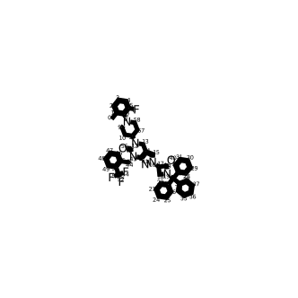 Cc1cccc(F)c1N1CCC(N2Cc3cn(C4CN(C(c5ccccc5)(c5ccccc5)c5ccccc5)C4=O)nc3N(Cc3ccccc3C(F)(F)F)C2=O)CC1